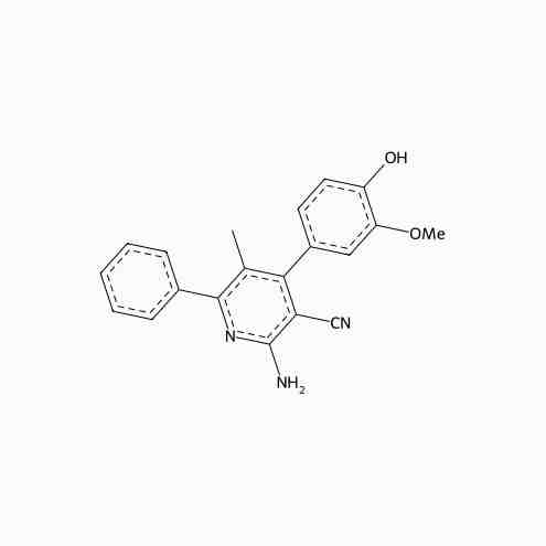 COc1cc(-c2c(C)c(-c3ccccc3)nc(N)c2C#N)ccc1O